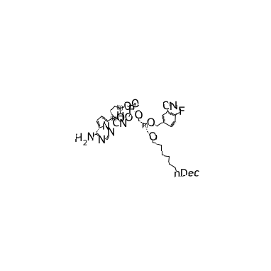 CCCCCCCCCCCCCCCCOC[C@H](COP(=O)(O)O[C@@H]1CC[C@](C#N)(c2ccc3c(N)ncnn23)O1)OCc1ccc(F)c(C#N)c1